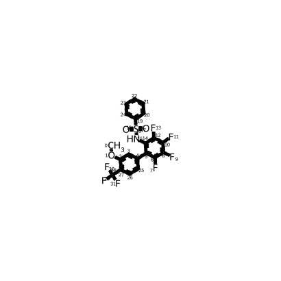 COc1cc(-c2c(F)c(F)c(F)c(F)c2NS(=O)(=O)c2ccccc2)ccc1C(F)(F)F